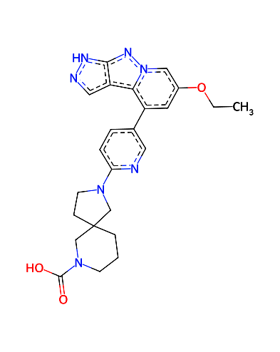 CCOc1cc(-c2ccc(N3CCC4(CCCN(C(=O)O)C4)C3)nc2)c2c3cn[nH]c3nn2c1